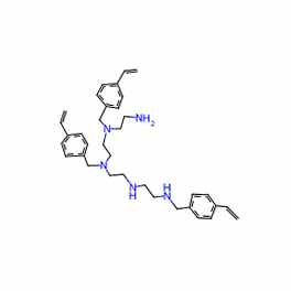 C=Cc1ccc(CNCCNCCN(CCN(CCN)Cc2ccc(C=C)cc2)Cc2ccc(C=C)cc2)cc1